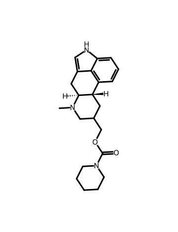 CN1CC(COC(=O)N2CCCCC2)C[C@H]2c3cccc4[nH]cc(c34)C[C@@H]21